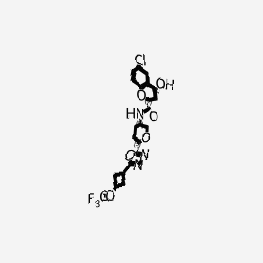 O=C(N[C@@H]1CC[C@@H](c2nnc(C3CC(OC(F)(F)F)C3)o2)OC1)[C@H]1C[C@@H](O)c2cc(Cl)ccc2O1